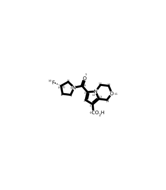 O=C(O)c1cc(C(=O)N2CC[C@H](F)C2)n2c1COCC2